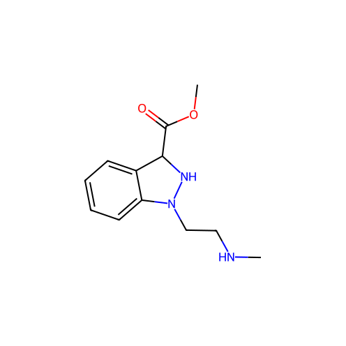 CNCCN1NC(C(=O)OC)c2ccccc21